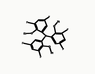 CCOc1c(F)cc(F)cc1B(c1cc(F)cc(F)c1OCC)c1cc(F)cc(F)c1OCC